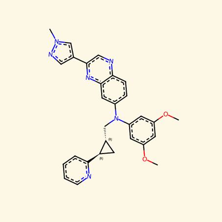 COc1cc(OC)cc(N(C[C@@H]2C[C@H]2c2ccccn2)c2ccc3ncc(-c4cnn(C)c4)nc3c2)c1